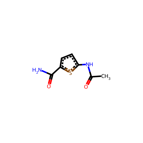 CC(=O)Nc1ccc(C(N)=O)s1